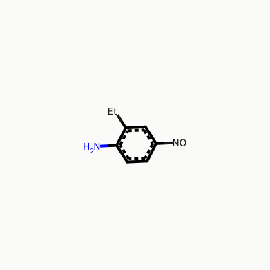 CCc1cc(N=O)ccc1N